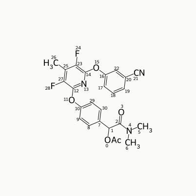 CC(=O)OC(C(=O)N(C)C)c1ccc(Oc2nc(Oc3cccc(C#N)c3)c(F)c(C)c2F)cc1